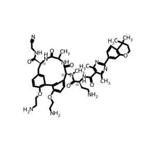 Cc1nc(-c2ccc3c(c2)OCCC3(C)C)nc(C)c1C(=O)N[C@@H](CCN)C(=O)N(C)[C@@H]1C(=O)NC(C)C(=O)N[C@H](C(=O)NCC#N)Cc2ccc(OCCN)c(c2)-c2cc1ccc2OCCN